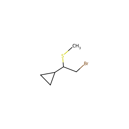 CSC(CBr)C1CC1